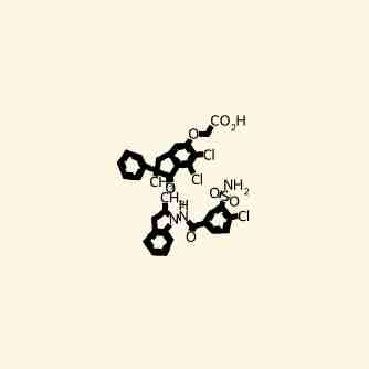 CC1(c2ccccc2)Cc2cc(OCC(=O)O)c(Cl)c(Cl)c2C1=O.CC1Cc2ccccc2N1NC(=O)c1ccc(Cl)c(S(N)(=O)=O)c1